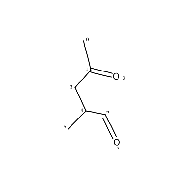 CC(=O)CC(C)C=O